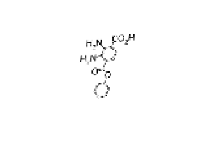 Nc1c(C(=O)O)ccc(C(=O)Oc2ccccc2)c1N